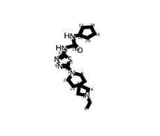 CCN1CC2(CCN(c3nnc(NC(=O)NC4CCCC4)s3)CC2)C1